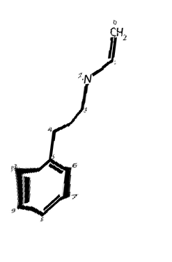 C=C[N]CCc1ccccc1